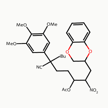 CCC(C)C(C#N)(CCC(OC(C)=O)C(CC1COc2ccccc2O1)[N+](=O)[O-])c1cc(OC)c(OC)c(OC)c1